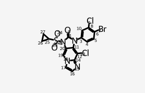 O=c1n(-c2ccc(Br)c(Cl)c2)c2c(Cl)c3nccn3cc2n1S(=O)(=O)C1CC1